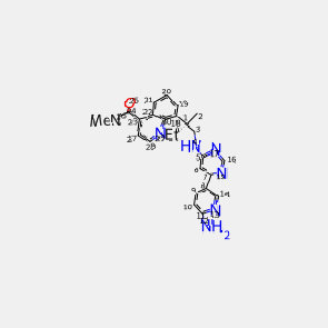 CC[C@](C)(CNc1cc(-c2ccc(N)nc2)ncn1)c1cccc2c(C(=O)NC)ccnc12